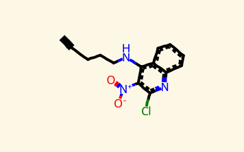 C#CCCCNc1c([N+](=O)[O-])c(Cl)nc2ccccc12